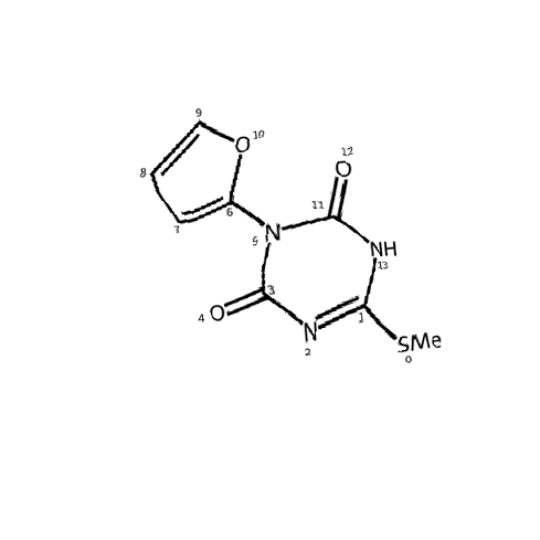 CSc1nc(=O)n(-c2ccco2)c(=O)[nH]1